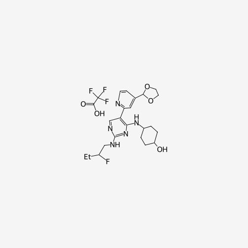 CCC(F)CNc1ncc(-c2cc(C3OCCO3)ccn2)c(NC2CCC(O)CC2)n1.O=C(O)C(F)(F)F